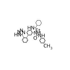 CCC(Nc1ccc(-c2ccccc2-c2nnn[nH]2)cc1NC(=O)Nc1ccc(C)cc1)C1CCCCC1